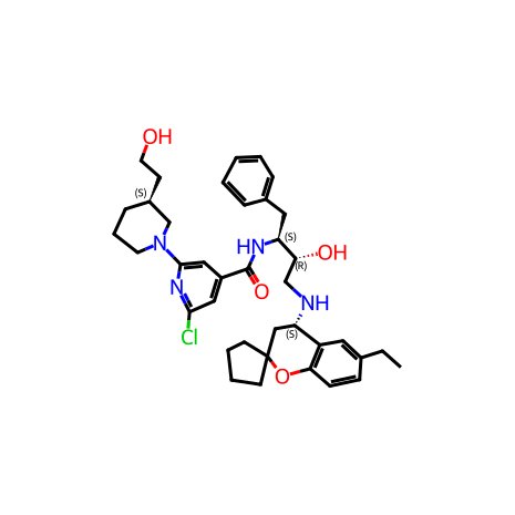 CCc1ccc2c(c1)[C@@H](NC[C@@H](O)[C@H](Cc1ccccc1)NC(=O)c1cc(Cl)nc(N3CCC[C@@H](CCO)C3)c1)CC1(CCCC1)O2